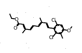 CCOC(=O)C=C(C)C=CC=C(C)C=Cc1c(Cl)cc(OC)c(C)c1Cl